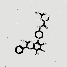 CCc1c(C#N)c(SC(C(N)=O)c2ccccc2)nc(N2CCC(NC(=O)[C@H](CO)OC(N)=O)CC2)c1C#N